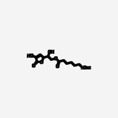 CCCCCCCCCCCCCCCC(=O)OCC(O)C1C=C(O)C(=O)O1